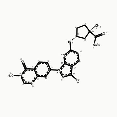 CNC(=O)[C@]1(C)CC[C@@H](Nc2ncc3c(Br)nn(-c4ccc5c(=O)n(C)cnc5c4)c3n2)C1